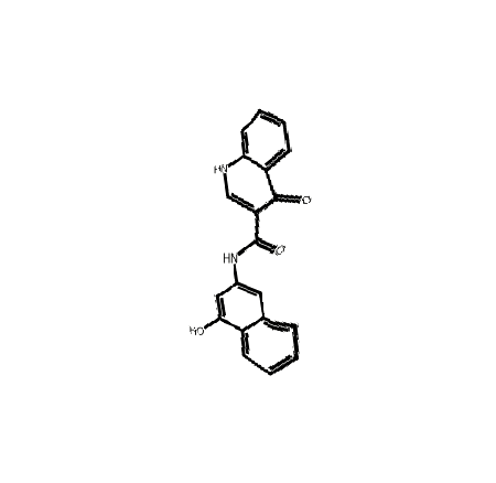 O=C(Nc1cc(O)c2ccccc2c1)c1c[nH]c2ccccc2c1=O